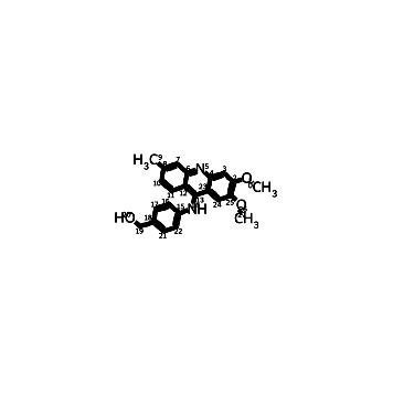 COc1cc2nc3cc(C)ccc3c(Nc3ccc(CO)cc3)c2cc1OC